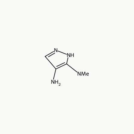 CNc1[nH]ncc1N